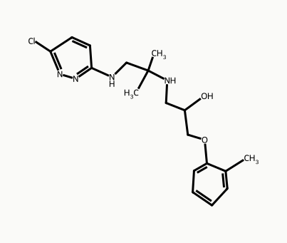 Cc1ccccc1OCC(O)CNC(C)(C)CNc1ccc(Cl)nn1